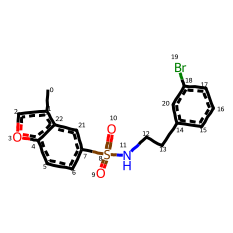 Cc1coc2ccc(S(=O)(=O)NCCc3cccc(Br)c3)cc12